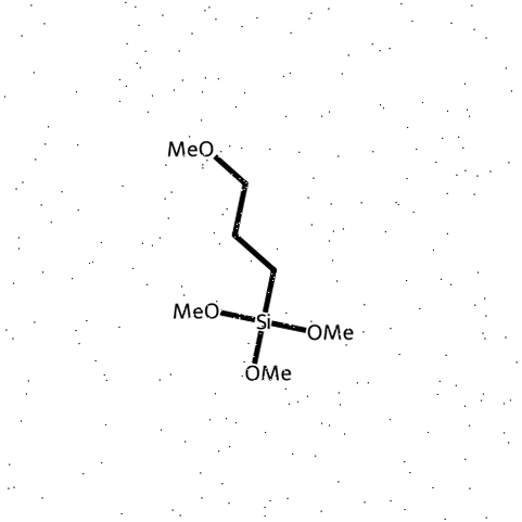 [CH2]OCCC[Si](OC)(OC)OC